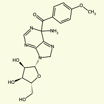 COc1ccc(C(=O)C2(N)N=CN=C3C2=NCN3[C@@H]2O[C@H](CO)[C@@H](O)[C@H]2O)cc1